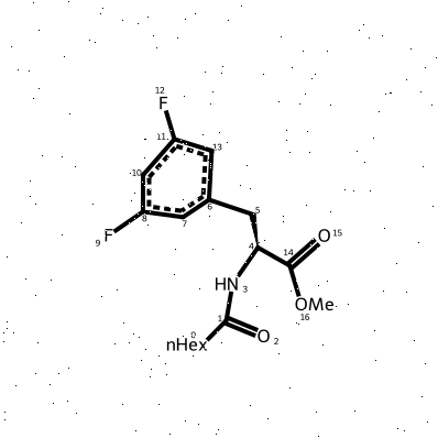 CCCCCCC(=O)N[C@@H](Cc1cc(F)cc(F)c1)C(=O)OC